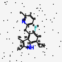 Cc1cccc(Cc2c(F)cc(C#N)c3[nH]c(C)c(C)c23)n1